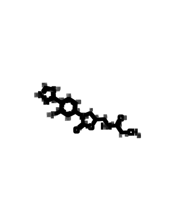 CCC(=O)NCC1CN(c2ccc(-c3nncs3)c(F)c2)C(=O)O1